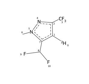 [2H]c1c(C(F)(F)F)nn(C)c1C(F)F